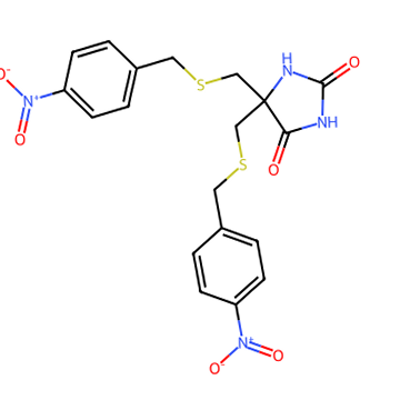 O=C1NC(=O)C(CSCc2ccc([N+](=O)[O-])cc2)(CSCc2ccc([N+](=O)[O-])cc2)N1